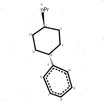 CCC[C@H]1CC[C@H](c2ccccc2)CC1